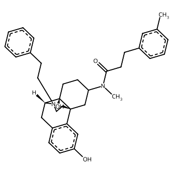 Cc1cccc(CCC(=O)N(C)C2CC[C@@]3(O)[C@H]4Cc5ccc(O)cc5[C@@]3(CCN4CCc3ccccc3)C2)c1